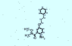 CON(C)C(=O)c1cc(OCCCc2ccccc2)ccc1N